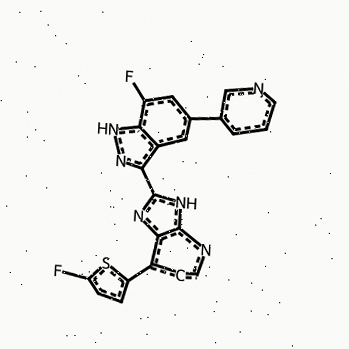 Fc1ccc(-c2ccnc3[nH]c(-c4n[nH]c5c(F)cc(-c6cccnc6)cc45)nc23)s1